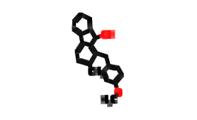 COc1ccc(Cc2c(C)ccc3c2C(O)c2ccccc2-3)cc1